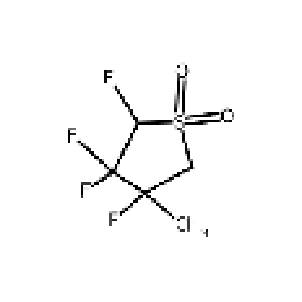 CC1(F)CS(=O)(=O)C(F)C1(F)F